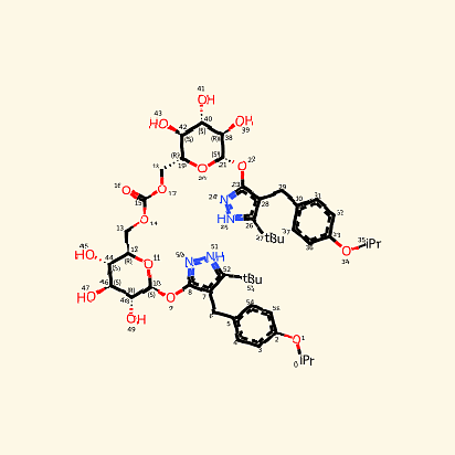 CC(C)Oc1ccc(Cc2c(O[C@@H]3O[C@H](COC(=O)OC[C@H]4O[C@@H](Oc5n[nH]c(C(C)(C)C)c5Cc5ccc(OC(C)C)cc5)[C@H](O)[C@@H](O)[C@@H]4O)[C@@H](O)[C@H](O)[C@H]3O)n[nH]c2C(C)(C)C)cc1